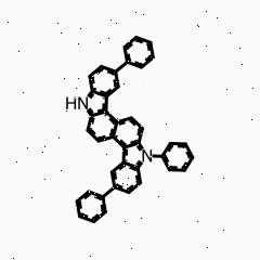 c1ccc(-c2ccc3[nH]c4ccc5c(ccc6c5c5cc(-c7ccccc7)ccc5n6-c5ccccc5)c4c3c2)cc1